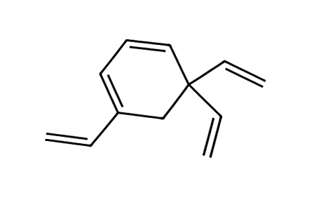 C=CC1=CC=CC(C=C)(C=C)C1